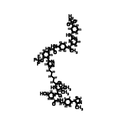 Cc1ncsc1-c1ccc(CNC(=O)[C@@H]2C[C@@H](O)CN2C(=O)[C@@H](NC(=O)CCCCCn2cc(-c3cc(NC(=O)Nc4ccc(N(C)c5ccnc(Nc6cccc(S(N)(=O)=O)c6)n5)cc4)ccc3OC(F)(F)F)nn2)C(C)(C)C)cc1